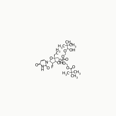 CC[C@]1(COP(=O)(OCOC(=O)C(C)(C)C)OCOC(O)C(C)(C)C)O[C@@H](n2ccc(=O)[nH]c2=O)[C@H](F)[C@@H]1O